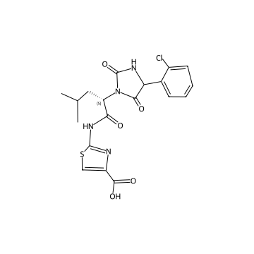 CC(C)C[C@@H](C(=O)Nc1nc(C(=O)O)cs1)N1C(=O)NC(c2ccccc2Cl)C1=O